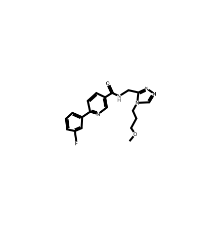 COCCCn1cnnc1CNC(=O)c1ccc(-c2cccc(F)c2)nc1